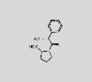 CC(=O)NC(C(=O)N1CCCC1C(=O)O)c1ccccc1